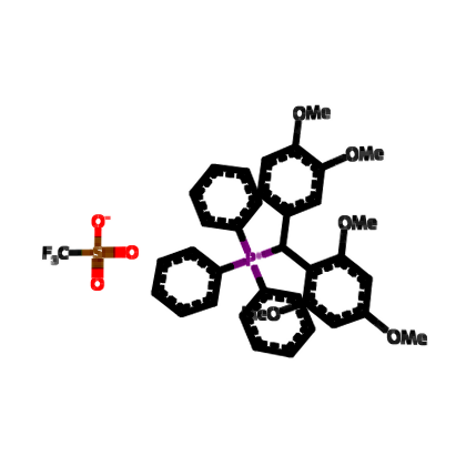 COc1cc(OC)c(C(c2ccc(OC)c(OC)c2)[P+](c2ccccc2)(c2ccccc2)c2ccccc2)c(OC)c1.O=S(=O)([O-])C(F)(F)F